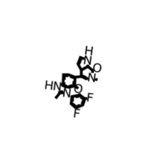 Cc1nc2c(Oc3ccc(F)cc3F)c(C3=CN(C)C(=O)C4NC=CC34)ccc2[nH]1